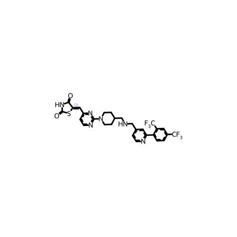 O=C1NC(=O)/C(=C/c2ccnc(N3CCC(CNCc4ccnc(-c5ccc(C(F)(F)F)cc5C(F)(F)F)c4)CC3)n2)S1